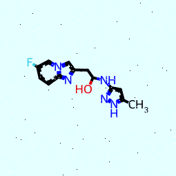 Cc1cc(NC(O)Cc2cn3cc(F)ccc3n2)n[nH]1